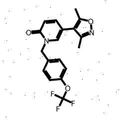 Cc1noc(C)c1-c1ccc(=O)n(Cc2ccc(OC(F)(F)F)cc2)c1